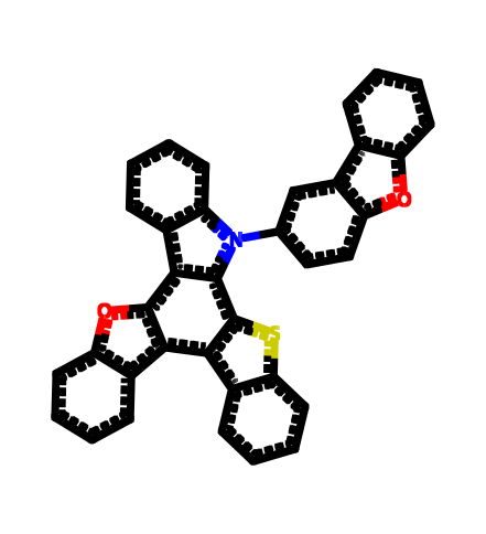 c1ccc2c(c1)oc1ccc(-n3c4ccccc4c4c5oc6ccccc6c5c5c6ccccc6sc5c43)cc12